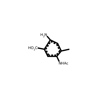 CC(=O)Nc1cc(C(=O)O)c(N)cc1C